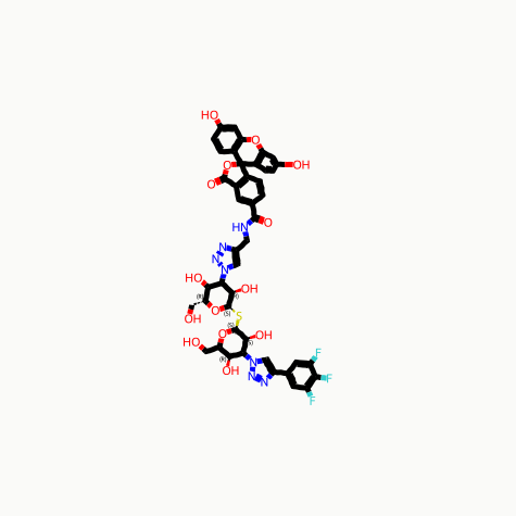 O=C(NCc1cn(C2C(O)[C@@H](CO)O[C@@H](S[C@@H]3OC(CO)[C@H](O)C(n4cc(-c5cc(F)c(F)c(F)c5)nn4)[C@@H]3O)[C@@H]2O)nn1)c1ccc2c(c1)C(=O)OC21c2ccc(O)cc2Oc2cc(O)ccc21